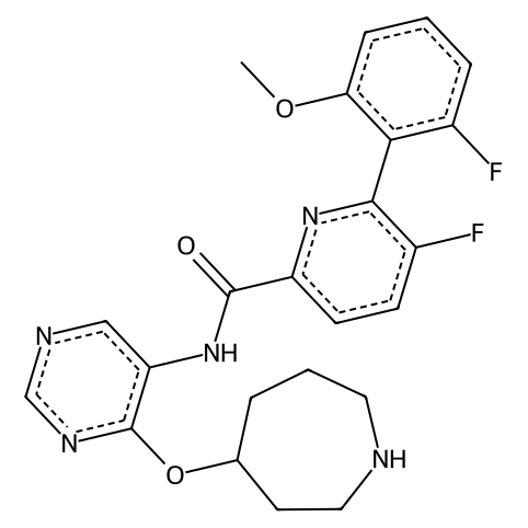 COc1cccc(F)c1-c1nc(C(=O)Nc2cncnc2OC2CCCNCC2)ccc1F